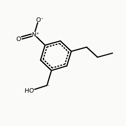 CCCc1cc([CH]O)cc([N+](=O)[O-])c1